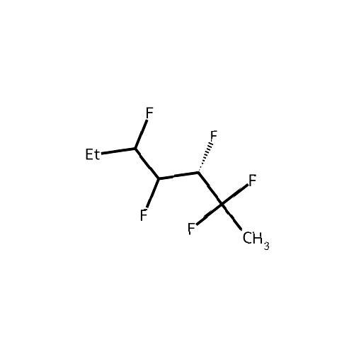 [CH2]CC(F)C(F)[C@H](F)C(C)(F)F